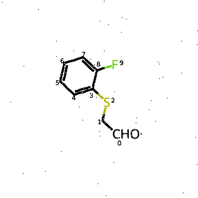 O=[C]CSc1ccccc1F